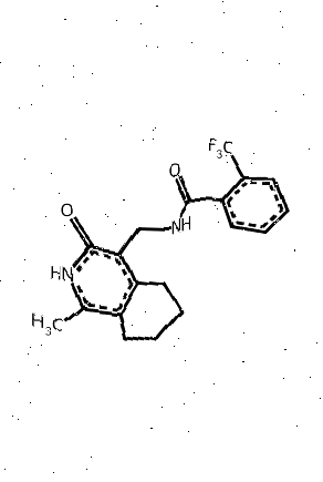 Cc1[nH]c(=O)c(CNC(=O)c2ccccc2C(F)(F)F)c2c1CCCC2